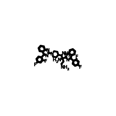 NCCC(N)(c1nc(-c2ccc(F)cc2F)c2ccccc2n1)C(N)C1CCN(c2nc(-c3ccc(F)cc3F)c3ccccc3n2)CC1